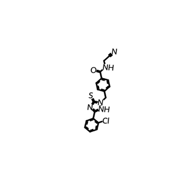 N#CCNC(=O)c1ccc(Cn2[nH]c(-c3ccccc3Cl)nc2=S)cc1